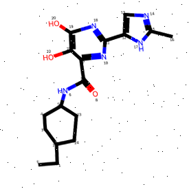 CCC1CCC(NC(=O)c2nc(-c3cnc(C)[nH]3)nc(O)c2O)CC1